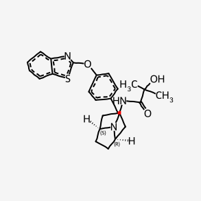 CC(C)(O)C(=O)NC1C[C@H]2CC[C@@H](C1)N2Cc1ccc(Oc2nc3ccccc3s2)cc1